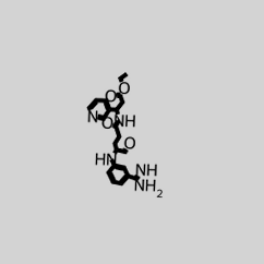 CCOC(=O)CC(NC(=O)CCC(C=O)Nc1cccc(C(=N)N)c1)c1cccnc1